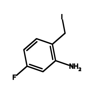 Nc1cc(F)ccc1CI